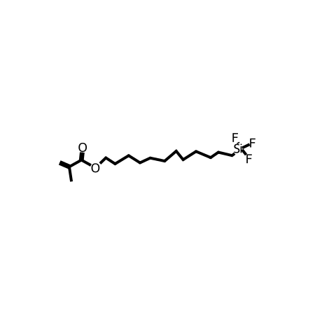 C=C(C)C(=O)OCCCCCCCCCCCC[Si](F)(F)F